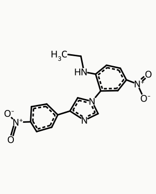 CCNc1ccc([N+](=O)[O-])cc1-n1cnc(-c2ccc([N+](=O)[O-])cc2)c1